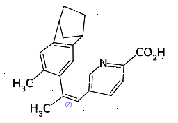 C/C(=C/c1ccc(C(=O)O)nc1)c1cc2c(cc1C)C1CCC2C1